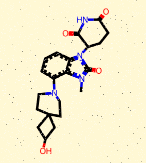 Cn1c(=O)n(C2CCC(=O)NC2=O)c2cccc(N3CCC4(CC3)CC(O)C4)c21